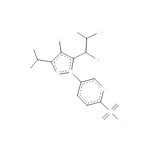 Cc1c(C(F)F)nn(-c2ccc(S(C)(=O)=O)nc2)c1C(N)C(C)C